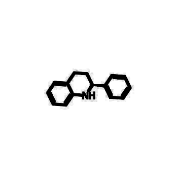 c1ccc([C@@H]2CCc3ccccc3N2)cc1